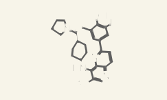 CC(=O)c1cnc2ccc(-c3cc(F)c(O)c(Cl)c3)nc2c1N[C@H]1CC[C@H](CN2CCCC2)CC1